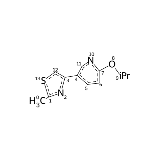 Cc1nc(-c2ccc(OC(C)C)nc2)cs1